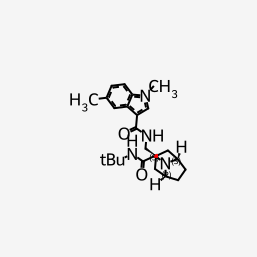 Cc1ccc2c(c1)c(C(=O)NC[C@@H]1C[C@H]3CC[C@@H](C1)N3CC(=O)NC(C)(C)C)cn2C